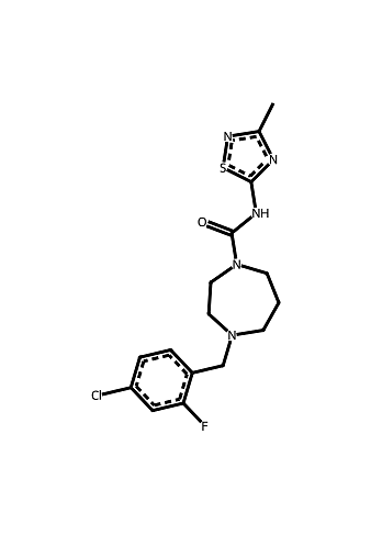 Cc1nsc(NC(=O)N2CCCN(Cc3ccc(Cl)cc3F)CC2)n1